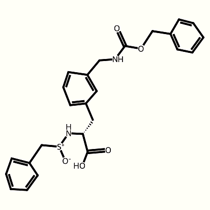 O=C(NCc1cccc(C[C@@H](N[S+]([O-])Cc2ccccc2)C(=O)O)c1)OCc1ccccc1